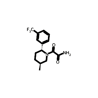 C[C@H]1CC[C@H](c2cccc(C(F)(F)F)c2)N(C(=O)C(N)=O)C1